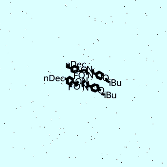 CCCCCCCCCCCc1ccc(C(=O)Oc2cnc(-c3ccc(OCC(C)CC)cc3)cn2)c(F)c1.CCCCCCCCCCc1ccc(C(=O)Oc2cnc(-c3ccc(OCC(C)CC)cc3)cn2)c(F)c1